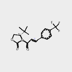 CC(C)(C)[C@H]1COC(=O)N1C(=O)/C=C/c1ccc(C(F)(F)F)cc1